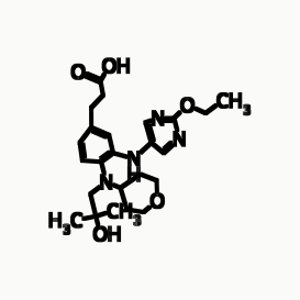 CCOc1ncc(Nc2cc(CCC(=O)O)ccc2N(CC(C)(C)O)C2CCOCC2)cn1